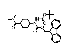 CN(C)C(=O)C1CCC(N(NC(=O)OC(C)(C)C)C(=O)OCC2c3ccccc3-c3ccccc32)CC1